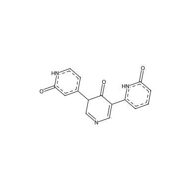 O=C1C(c2cccc(=O)[nH]2)=[C]N=CC1c1cc[nH]c(=O)c1